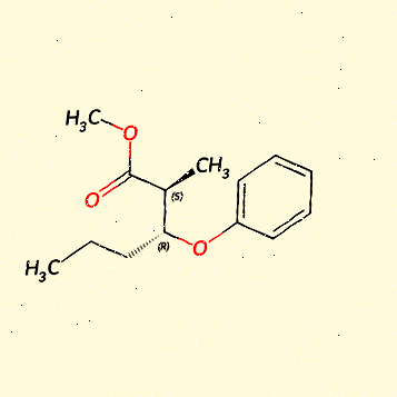 CCC[C@@H](Oc1ccccc1)[C@H](C)C(=O)OC